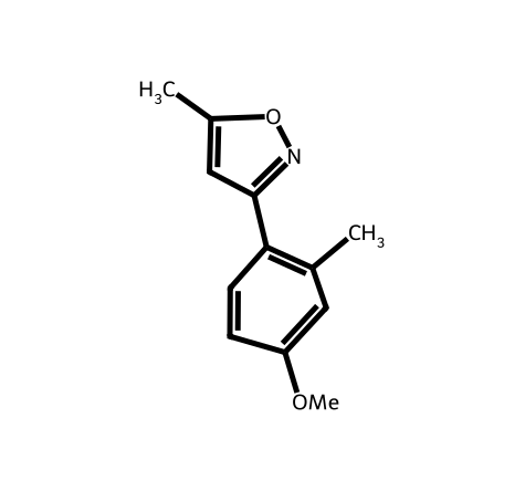 COc1ccc(-c2cc(C)on2)c(C)c1